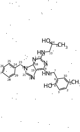 Cc1ccc(O)c(CNc2nc(NCC(C)O)nc3c2ncn3Cc2ccccc2)c1